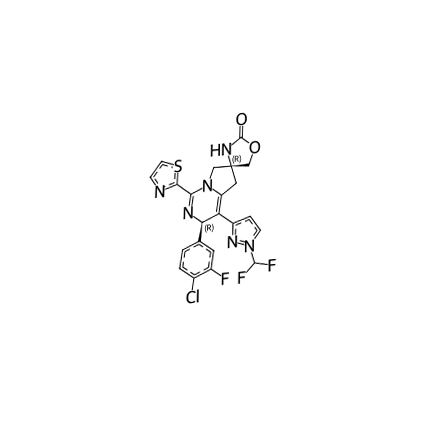 O=C1N[C@]2(CO1)CC1=C(c3ccn(C(F)F)n3)[C@@H](c3ccc(Cl)c(F)c3)N=C(c3nccs3)N1C2